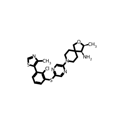 Cc1ncsc1-c1cccc(Sc2cnc(N3CCC4(CC3)CO[C@@H](C)[C@H]4N)cn2)c1Cl